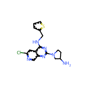 NC1CCN(c2nc(NCc3cccs3)c3cc(Cl)ncc3n2)C1